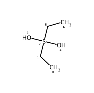 CCS(O)(O)CC